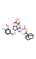 COc1cc([C@@H](C)O[C@@H]2CC[C@@H](C(C)(F)C(=O)O)[C@]2(N)C(=O)O[C@@H](C)OC(=O)C23CC4CC(CC(C4)C2)C3)ccc1F